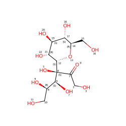 O=C(CO)[C@](O)([C@@H](O)[C@H](O)CO)[C@H]1O[C@H](CO)[C@@H](O)[C@H](O)[C@H]1O